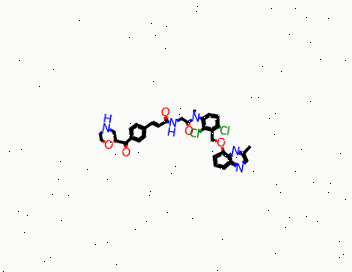 Cc1cnc2cccc(OCc3c(Cl)ccc(N(C)C(=O)CNC(=O)C=Cc4ccc(C(=O)C5CNCCO5)cc4)c3Cl)c2n1